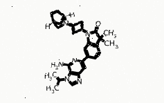 CC(C)n1cnc2cc(-c3ccc4c(c3)N(C3CC(N5C[C@H]6CC[C@@H]5C6)C3)C(=O)C4(C)C)nc(N)c21